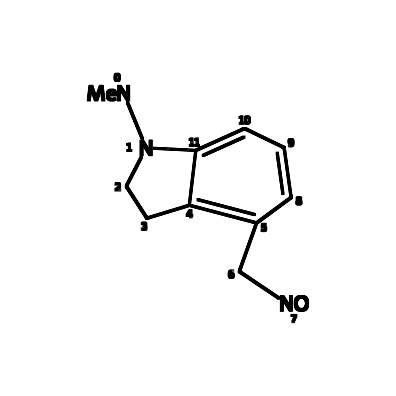 CNN1CCc2c(CN=O)cccc21